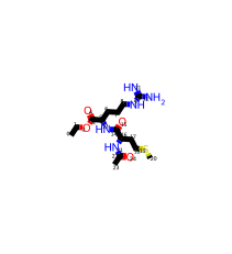 CCOC(=O)C(CCCNC(=N)N)NC(=O)C(CCSC)NC(C)=O